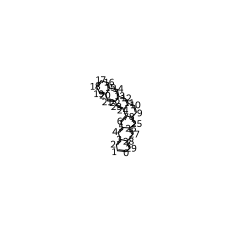 c1ccc2cc3cc4c(ccc5cc6cc7ccccc7cc6cc54)cc3cc2c1